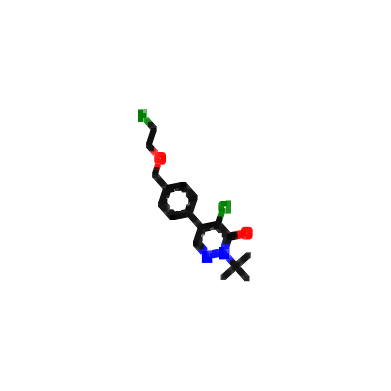 CC(C)(C)n1ncc(-c2ccc(COCCF)cc2)c(Cl)c1=O